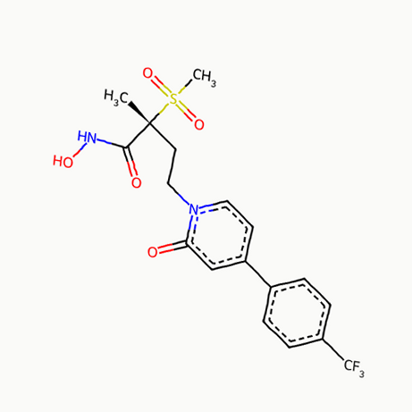 C[C@@](CCn1ccc(-c2ccc(C(F)(F)F)cc2)cc1=O)(C(=O)NO)S(C)(=O)=O